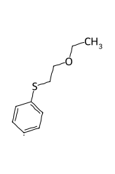 CCOCCSc1cc[c]cc1